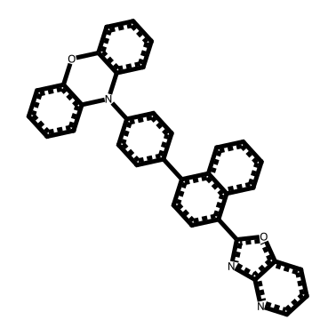 c1ccc2c(c1)Oc1ccccc1N2c1ccc(-c2ccc(-c3nc4ncccc4o3)c3ccccc23)cc1